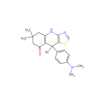 CCC1(c2ccc(N(C)C)cc2)C2=C(CC(C)(C)CC2=O)Nc2ncsc21